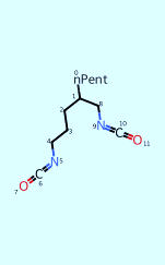 CCCCCC(CCCN=C=O)CN=C=O